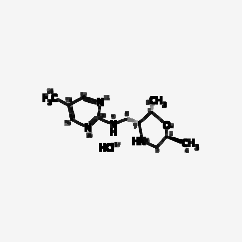 C[C@@H]1O[C@@H](C)CN[C@@H]1CNc1ncc(C(F)(F)F)cn1.Cl